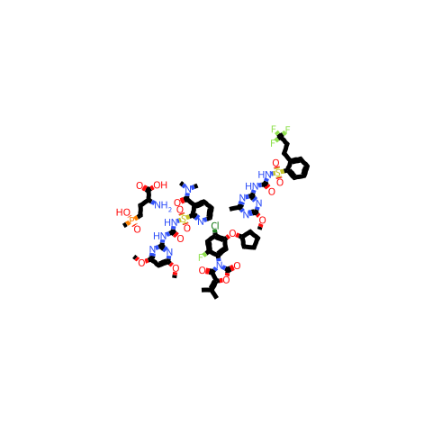 CC(C)=C1OC(=O)N(c2cc(OC3CCCC3)c(Cl)cc2F)C1=O.COc1cc(OC)nc(NC(=O)NS(=O)(=O)c2ncccc2C(=O)N(C)C)n1.COc1nc(C)nc(NC(=O)NS(=O)(=O)c2ccccc2CCC(F)(F)F)n1.CP(=O)(O)CCC(N)C(=O)O